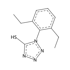 CCc1cccc(CC)c1-n1nnnc1S